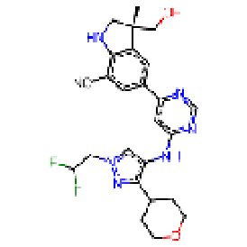 C[C@]1(CO)CNc2c(C#N)cc(-c3cc(Nc4cn(CC(F)F)nc4C4CCOCC4)ncn3)cc21